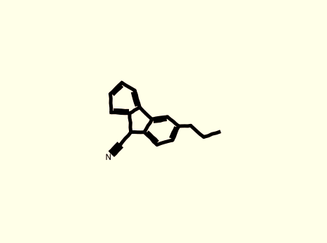 CCCc1ccc2c(c1)-c1ccccc1C2C#N